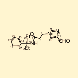 CCC(CC)(NC(=O)CCn1cnc(C=O)c1)c1ccccc1